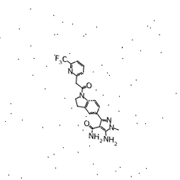 Cn1nc(-c2ccc3c(c2)CCN3C(=O)Cc2cccc(C(F)(F)F)n2)c(C(N)=O)c1N